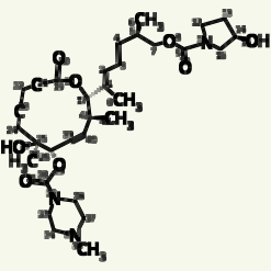 C/C(=C\C=C\[C@@H](C)COC(=O)N1CC[C@@H](O)C1)[C@H]1OC(=O)CCCC[C@](C)(O)[C@@H](OC(=O)N2CCN(C)CC2)/C=C/[C@@H]1C